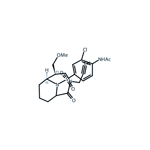 C#CCN1C[C@H](COC)[C@@H]2CCCC(C1=O)N2S(=O)(=O)c1ccc(NC(C)=O)c(Cl)c1